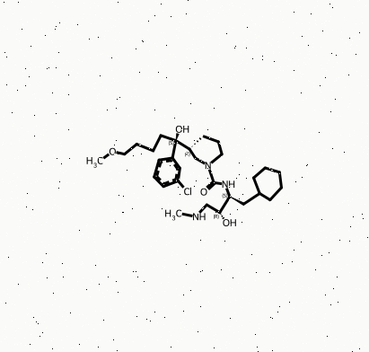 CNC[C@@H](O)[C@H](CC1CCCCC1)NC(=O)N1CCC[C@@H]([C@@](O)(CCCCOC)c2cccc(Cl)c2)C1